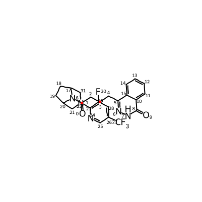 O=C(CCCc1n[nH]c(=O)c2ccccc12)N1C2CCC1CN(c1ncc(C(F)(F)F)cc1F)C2